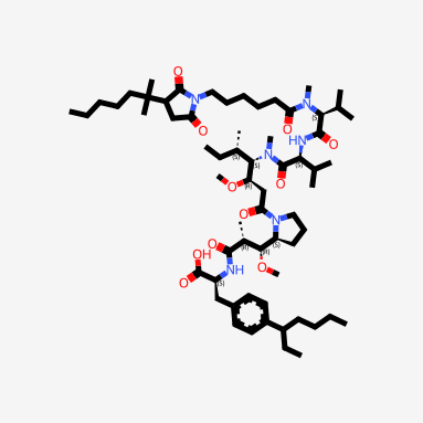 CCCCCC(C)(C)C1CC(=O)N(CCCCCC(=O)N(C)[C@H](C(=O)N[C@H](C(=O)N(C)[C@@H]([C@@H](C)CC)[C@@H](CC(=O)N2CCC[C@H]2[C@H](OC)[C@@H](C)C(=O)N[C@@H](Cc2ccc(C(CC)CCCC)cc2)C(=O)O)OC)C(C)C)C(C)C)C1=O